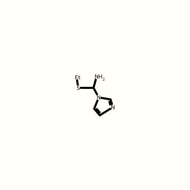 CCSC(N)n1ccnc1